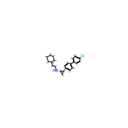 Clc1ccc(-c2ccc([C@H]3C[C@@H]3NCCC3CCCCC3)cc2)cc1